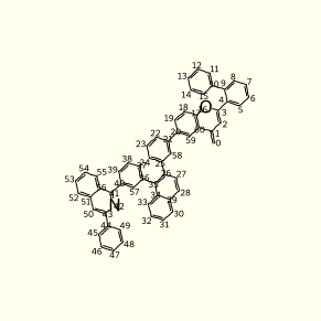 C=C1C=C(c2ccccc2-c2ccccc2)Oc2ccc(-c3cccc(-c4ccc5ccccc5c4-c4cccc(-c5nc(-c6ccccc6)cc6ccccc56)c4)c3)cc21